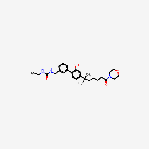 CCNC(=O)NCc1cccc(-c2ccc(C(C)(C)CCCCC(=O)N3CCOCC3)cc2O)c1